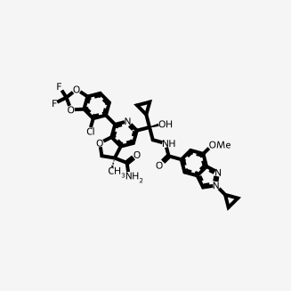 COc1cc(C(=O)NC[C@](O)(c2cc3c(c(-c4ccc5c(c4Cl)OC(F)(F)O5)n2)OC[C@]3(C)C(N)=O)C2CC2)cc2cn(C3CC3)nc12